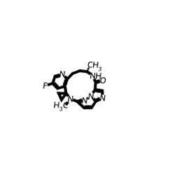 C[C@@H]1CCc2ncc(F)cc2C2(CC2)N(C)c2ccc3ncc(n3n2)C(=O)N1